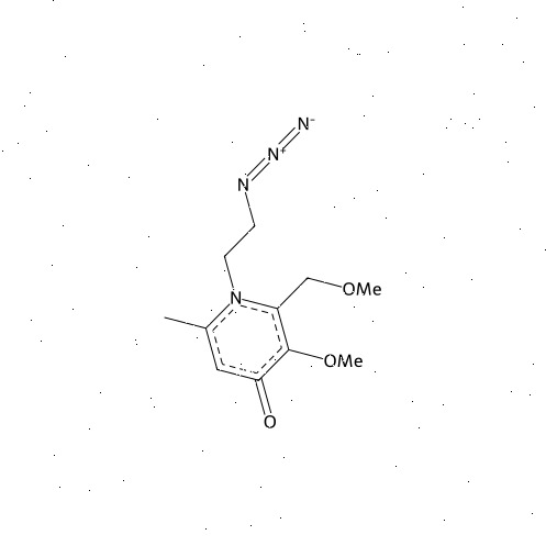 COCc1c(OC)c(=O)cc(C)n1CCN=[N+]=[N-]